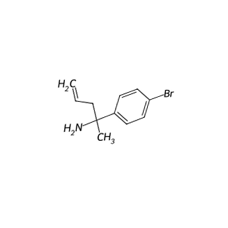 C=CCC(C)(N)c1ccc(Br)cc1